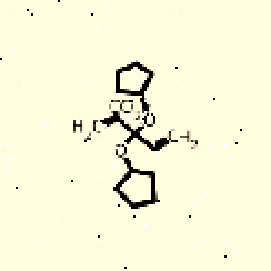 C=CC(OC1CCCC1)(OC1CCCC1)C(=C)C(=O)O